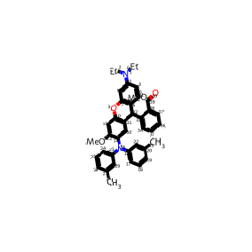 CCN(CC)c1ccc2c(c1)Oc1cc(OC)c(N(c3cccc(C)c3)c3cccc(C)c3)cc1C2c1ccccc1C(=O)OC